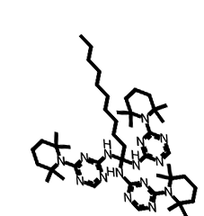 CCCCCCCCCCC(Nc1ncnc(N2C(C)(C)CCCC2(C)C)n1)(Nc1ncnc(N2C(C)(C)CCCC2(C)C)n1)Nc1ncnc(N2C(C)(C)CCCC2(C)C)n1